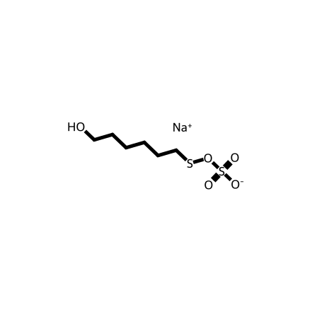 O=S(=O)([O-])OSCCCCCCO.[Na+]